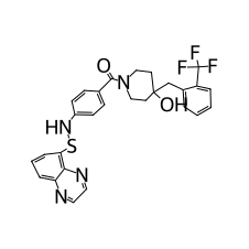 O=C(c1ccc(NSc2cccc3nccnc23)cc1)N1CCC(O)(Cc2ccccc2C(F)(F)F)CC1